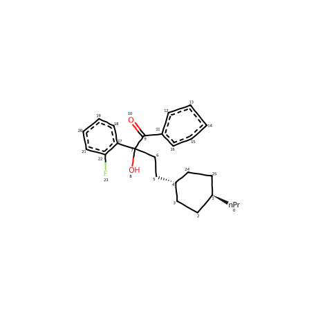 CCC[C@H]1CC[C@H](CCC(O)(C(=O)c2ccccc2)c2ccccc2F)CC1